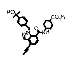 CC#Cc1ccc(C(=O)NC2CCC(C(=O)O)CC2)c2c1cnn2Cc1ccc(C(C)(C)O)cc1